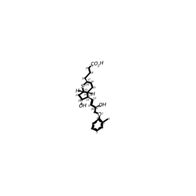 Cc1ccccc1OC[C@H](O)C=C[C@@H]1[C@H]2CC[C@H](CCCC(=O)O)S[C@H]2C[C@H]1O